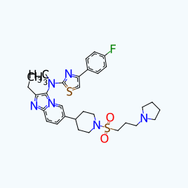 CCc1nc2ccc(C3CCN(S(=O)(=O)CCCN4CCCC4)CC3)cn2c1N(C)c1nc(-c2ccc(F)cc2)cs1